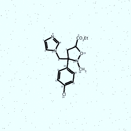 CCOC(=O)C1CC(Cn2ccnc2)(c2ccc(Cl)cc2)N(C)O1